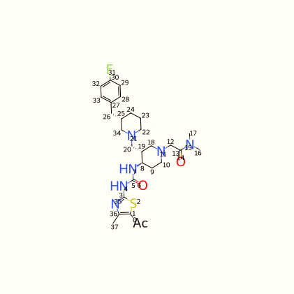 CC(=O)c1sc(NC(=O)N[C@@H]2CCN(CC(=O)N(C)C)C[C@H]2CN2CCC[C@@H](Cc3ccc(F)cc3)C2)nc1C